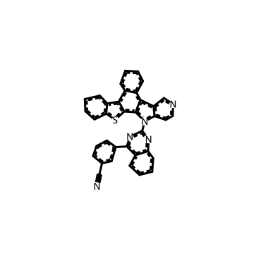 N#Cc1cccc(-c2nc(-n3c4ccncc4c4c5ccccc5c5c6ccccc6sc5c43)nc3ccccc23)c1